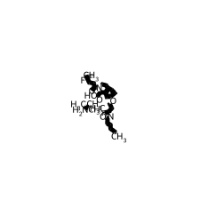 CC(C)(C)N.CCC/C=C/c1nc(CCOc2ccc3c(c2)C(C(=O)O)N(C(=O)CCC(C)(F)F)CC3)c(C)o1